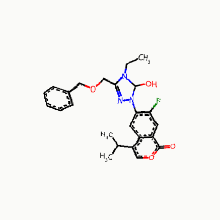 CCN1C(COCc2ccccc2)=NN(c2cc3c(C(C)C)coc(=O)c3cc2F)C1O